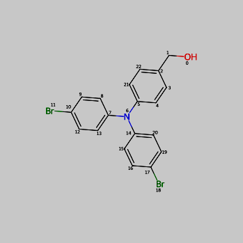 OCc1ccc(N(c2ccc(Br)cc2)c2ccc(Br)cc2)cc1